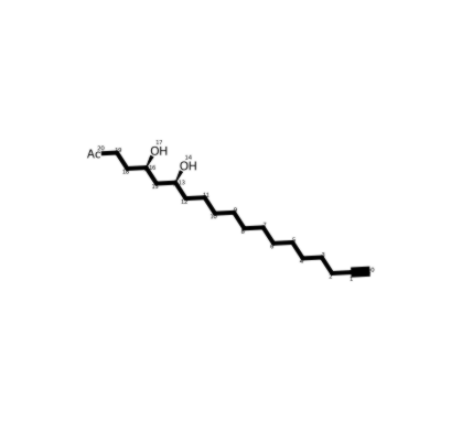 C#CCCCCCCCCCCC[C@H](O)C[C@H](O)CCC(C)=O